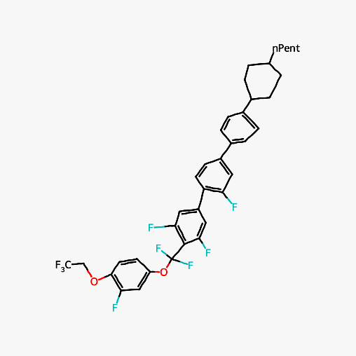 CCCCCC1CCC(c2ccc(-c3ccc(-c4cc(F)c(C(F)(F)Oc5ccc(OCC(F)(F)F)c(F)c5)c(F)c4)c(F)c3)cc2)CC1